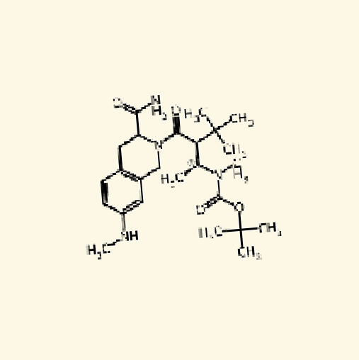 CNc1ccc2c(c1)CN(C(=O)C([C@H](C)N(C)C(=O)OC(C)(C)C)C(C)(C)C)C(C(N)=O)C2